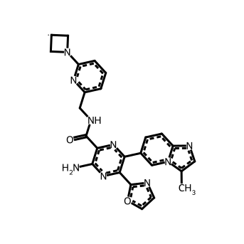 Cc1cnc2ccc(-c3nc(C(=O)NCc4cccc(N5C[CH]C5)n4)c(N)nc3-c3ncco3)cn12